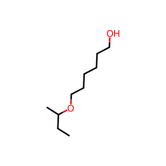 CCC(C)OCCCCCCO